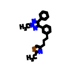 Cc1nc(CCCc2cccc(-c3nn(C)nc3-c3ccccc3)c2)cs1